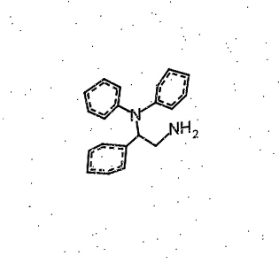 NCC(c1ccccc1)N(c1ccccc1)c1ccccc1